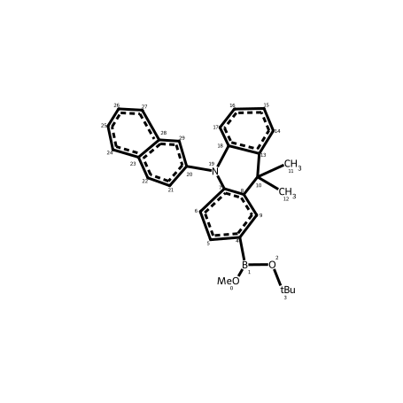 COB(OC(C)(C)C)c1ccc2c(c1)C(C)(C)c1ccccc1N2c1ccc2ccccc2c1